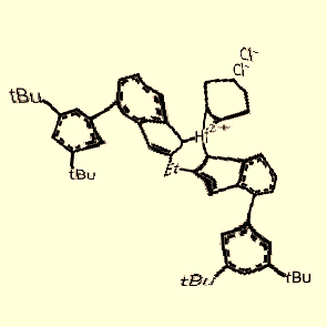 CCC1=Cc2c(-c3cc(C(C)(C)C)cc(C(C)(C)C)c3)cccc2[CH]1[Hf+2]1([CH]2C(CC)=Cc3c(-c4cc(C(C)(C)C)cc(C(C)(C)C)c4)cccc32)[CH]2CCCC[CH]21.[Cl-].[Cl-]